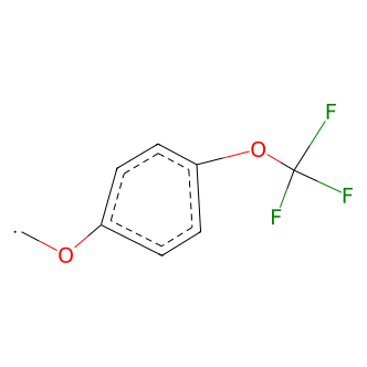 [CH2]Oc1ccc(OC(F)(F)F)cc1